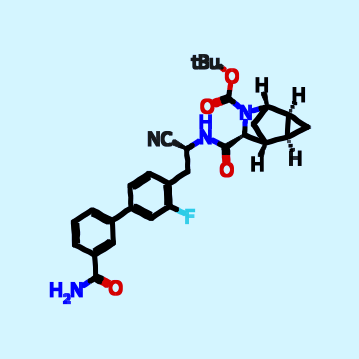 CC(C)(C)OC(=O)N1[C@H](C(=O)N[C@H](C#N)Cc2ccc(-c3cccc(C(N)=O)c3)cc2F)[C@@H]2C[C@H]1[C@H]1C[C@@H]21